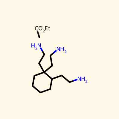 CCOC(C)=O.NCCC1CCCCC1(CCN)CCN